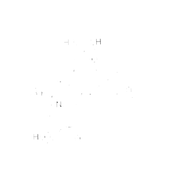 CC1(C)Cc2c3c(cc(-c4ccoc4)c2O1)-c1cc(=O)c(C(=O)O)cn1[C@H](C(C)(C)C)C3